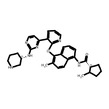 Cc1ccc2c(NC(=O)[C@@H]3CCCC3C)cccc2c1Oc1ncccc1-c1ccnc(N[C@H]2CCCNC2)n1